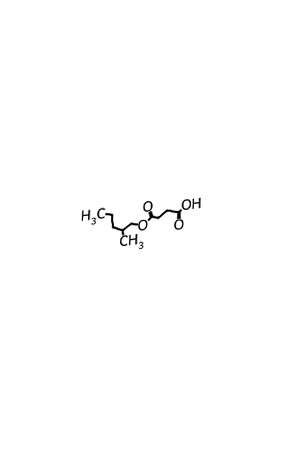 CCCC(C)COC(=O)CCC(=O)O